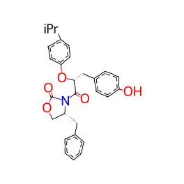 CC(C)c1ccc(O[C@H](Cc2ccc(O)cc2)C(=O)N2C(=O)OC[C@H]2Cc2ccccc2)cc1